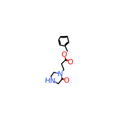 O=C(CCN1CCNCC1=O)OCc1ccccc1